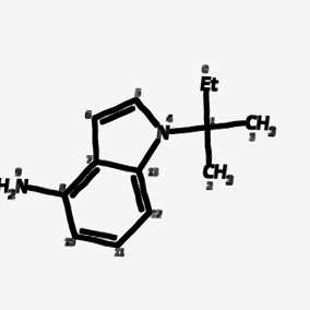 CCC(C)(C)n1ccc2c(N)cccc21